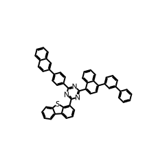 c1ccc(-c2cccc(-c3ccc(-c4nc(-c5ccc(-c6ccc7ccccc7c6)cc5)nc(-c5cccc6c5sc5ccccc56)n4)c4ccccc34)c2)cc1